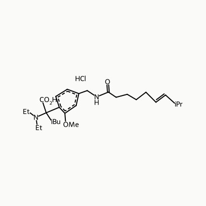 CCC(C)C(C(=O)O)(c1ccc(CNC(=O)CCCCC=CC(C)C)cc1OC)N(CC)CC.Cl